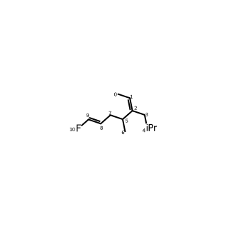 C/C=C(/CC(C)C)C(C)C/C=C/F